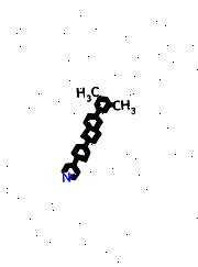 Cc1cc(C)cc(-c2ccc3cc(-c4ccc(-c5ccncc5)cc4)ccc3c2)c1